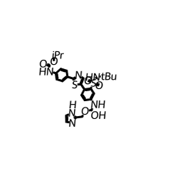 CC(C)OC(=O)Nc1ccc(-c2ncc(-c3ccc(NC(O)OCc4ncc[nH]4)cc3S(=O)(=O)NC(C)(C)C)s2)cc1